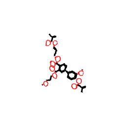 C=C(C)C(=O)OCCCOC(=O)c1ccc(-c2ccc(OC(=O)C(=C)C)c(OC)c2)cc1C(=O)OCCCOC